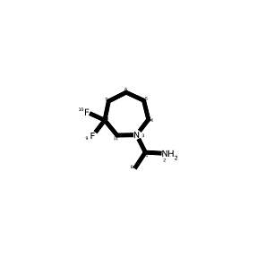 CC(N)N1CCCCC(F)(F)C1